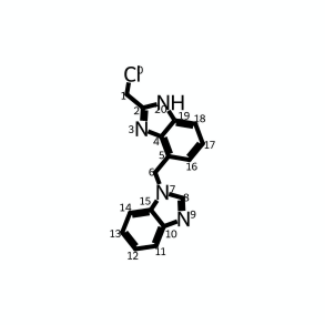 ClCc1nc2c(Cn3cnc4ccccc43)cccc2[nH]1